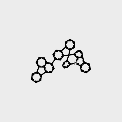 c1ccc2c(c1)-c1cccc3c(-c4ccc5c(c4)C4(c6ccccc6-5)c5ccccc5-n5c6ccccc6c6cccc4c65)ccc-2c13